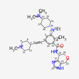 CCN(c1cc(C#CC2CCN(C)CC2)cc(C(=O)NC2COCc3[nH]cnc32)c1C)[C@H]1CC[C@H](N(C)C)CC1